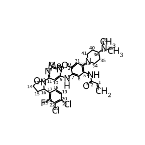 C=CC(=O)Nc1cc(Nc2cc(N3OCCC3c3ccc(Cl)c(Cl)c3F)ncn2)c(OC)cc1N1CCC(N(C)C)CC1